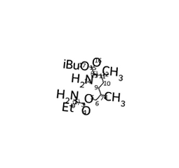 CC[C@H](N)C(=O)OCC(C)CCC(C)[C@H](N)C(=O)OCC(C)C